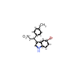 Cc1ccc(C(C[N+](=O)[O-])c2c[nH]c3ccc(Br)cc23)cc1